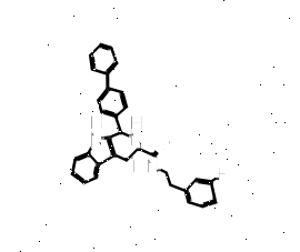 O=C(NCCc1cccc(F)c1)C1Cc2c([nH]c3ccccc23)C(c2ccc(-c3ccccc3)cc2)N1